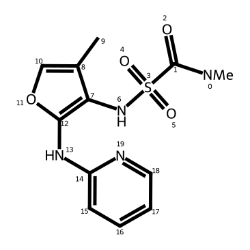 CNC(=O)S(=O)(=O)Nc1c(C)coc1Nc1ccccn1